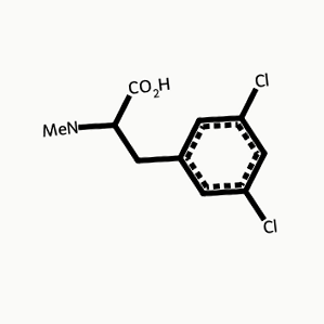 CNC(Cc1cc(Cl)cc(Cl)c1)C(=O)O